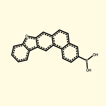 OB(O)c1ccc2c(ccc3cc4oc5ccccc5c4cc32)c1